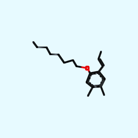 C/C=C/c1cc(C)c(C)cc1OCCCCCCCC